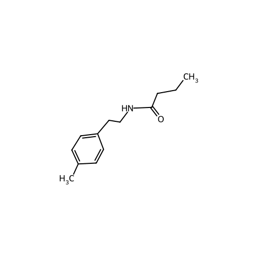 CCCC(=O)NCCc1ccc(C)cc1